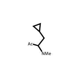 CNC(CC1CC1)C(C)=O